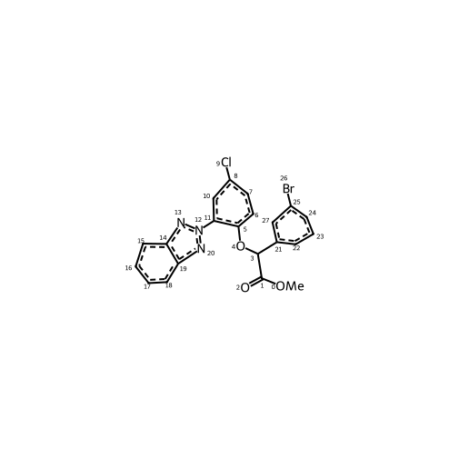 COC(=O)C(Oc1ccc(Cl)cc1-n1nc2ccccc2n1)c1cccc(Br)c1